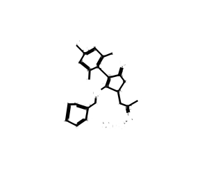 CO/N=C(/C)CC1CC(=O)C(c2c(C)cc(C)cc2C)=C1OCc1ccccc1